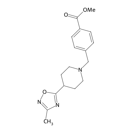 COC(=O)c1ccc(CN2CCC(c3nc(C)no3)CC2)cc1